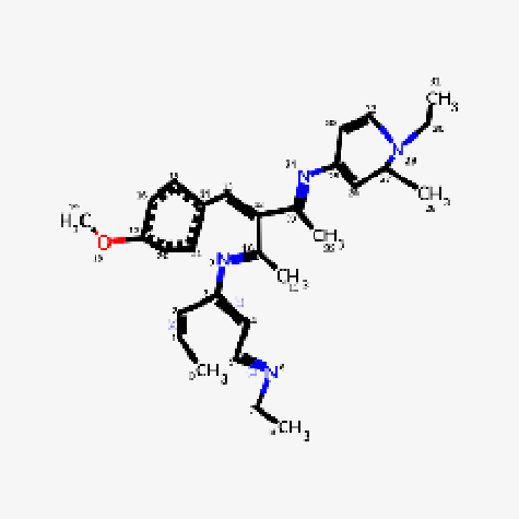 C\C=C/C(=C\C=N\CC)N=C(C)C(=Cc1ccc(OC)cc1)C(C)=NC1=CC(C)N(CC)C=C1